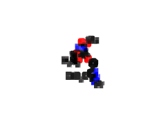 CCOC(=O)c1cc(-c2cccc(OCC(CNC(=O)OC(C)(C)C)C(C)(C)C(O[SiH2]C)O[SiH2]C)c2)nc2nn(C(C)C)cc12